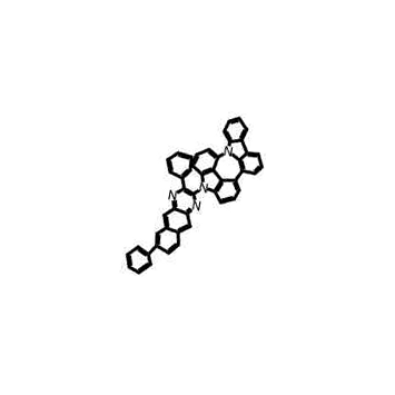 c1ccc(-c2ccc3cc4nc(-n5c6cccc7c8cccc9c%10ccccc%10n(c%10cccc5c%10c76)c89)c(-c5ccccc5)nc4cc3c2)cc1